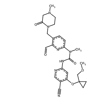 COCC1(Oc2cc(NC(=O)N(C)c3ccc(CN4CCN(C)CC4=O)c(C=O)n3)ncc2C#N)CC1